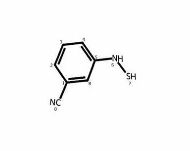 N#Cc1cccc(NS)c1